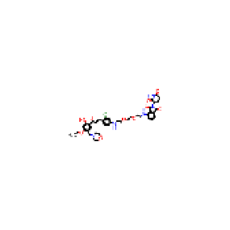 CCOc1cc(O)c(C(=O)/C=C/c2ccc(NCCOCCOCCNc3cccc4c3C(=O)N(C3CCC(=O)NC3=O)C4=O)cc2Cl)cc1CN1CCOCC1